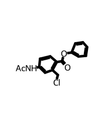 CC(=O)Nc1ccc(C(=O)Oc2ccccc2)c(CCl)c1